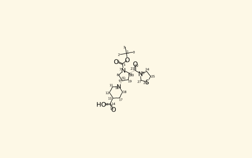 CC(C)(C)OC(=O)N1C[C@@H](N2CCC(C(=O)O)CC2)C[C@H]1C(=O)N1CCSC1